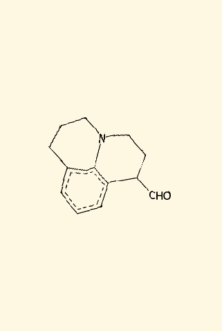 O=CC1CCN2CCCc3cccc1c32